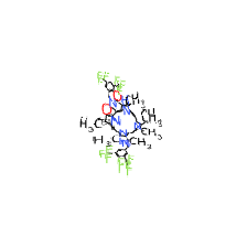 CCC1c2cc3[nH]c4c(c5nc(cc6[nH]c(cc(n2)C1C)c(/C(C)=N/Cc1cc(C(F)(F)F)cc(C(F)(F)F)c1)c6C)[C@@H](C)C5)C(=O)N(Cc1cc(C(F)(F)F)cc(C(F)(F)F)c1)C(=O)c4c3C